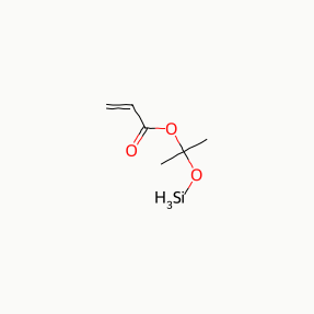 C=CC(=O)OC(C)(C)O[SiH3]